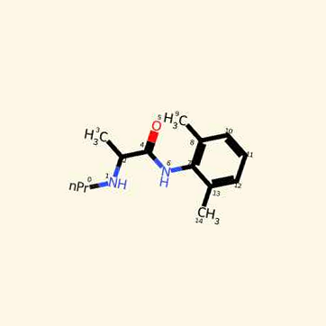 CCCNC(C)C(=O)Nc1c(C)cccc1C